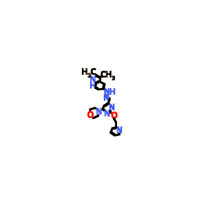 Cc1[nH]c2ccc(NN=Cc3cc(N4CCOCC4)nc(OCCc4ccccn4)n3)cc2c1C